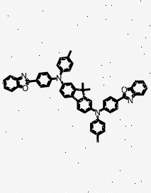 Cc1ccc(N(c2ccc(-c3nc4ccccc4o3)cc2)c2ccc3c(c2)C(C)(C)c2cc(N(c4ccc(C)cc4)c4ccc(-c5nc6ccccc6o5)cc4)ccc2-3)cc1